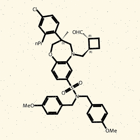 CCCc1cc(Cl)ccc1[C@]1(C)COc2ccc(S(=O)(=O)N(Cc3ccc(OC)cc3)Cc3ccc(OC)cc3)cc2N(C[C@@H]2CC[C@H]2C=O)C1